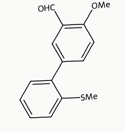 COc1ccc(-c2ccccc2SC)cc1C=O